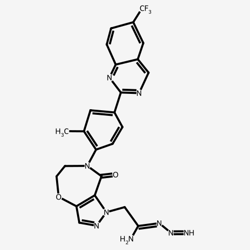 Cc1cc(-c2ncc3cc(C(F)(F)F)ccc3n2)ccc1N1CCOc2cnn(C/C(N)=N/N=N)c2C1=O